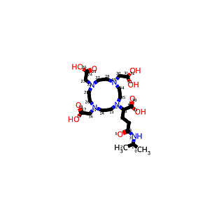 CC(C)NC(=O)CCC(C(=O)O)N1CCN(CC(=O)O)CCN(CC(=O)O)CCN(CC(O)O)CC1